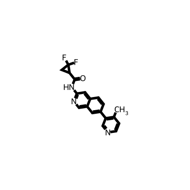 Cc1ccncc1-c1ccc2cc(NC(=O)C3CC3(F)F)ncc2c1